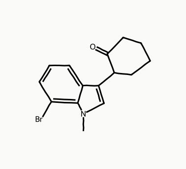 Cn1cc(C2CCCCC2=O)c2cccc(Br)c21